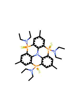 CCN(CC)P1(=S)c2cc(C)cc3c2N2c4c1cc(C)cc4P(=S)(N(CC)CC)c1cc(C)cc(c12)P3(=S)N(CC)CC